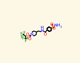 NS(=O)(=O)c1ccc(C(=O)NCCC2CCN(C(=O)OC(C(F)(F)F)C(F)(F)F)CC2)cc1